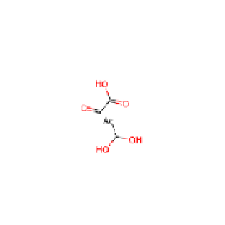 CC(=O)C(O)O.O=CC(=O)O